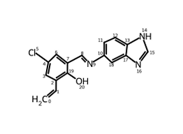 C=Cc1cc(Cl)cc(/C=N/c2ccc3[nH]cnc3c2)c1O